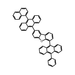 c1ccc(-c2c3ccccc3c(-c3cccc4c3oc3ccc(-c5c6ccccc6c(-c6cccc7ccccc67)c6ccccc56)cc34)c3ccccc23)cc1